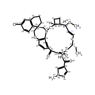 CC[C@H]1C/C=C/[C@H](OC)[C@@H]2CC[C@H]2CN2C[C@@]3(CCCc4cc(Cl)ccc43)COc3ccc(cc32)C(=O)N=[S@](=O)(NC(=O)c2cnn(C)c2)C1